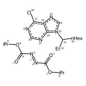 CC(C)OC(=O)/N=N/C(=O)OC(C)C.CCCCCCC(CC)n1cnc2c(Cl)ncnc21